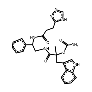 CC(Cc1c[nH]c2ccccc12)(OC(N)=O)C(=O)NCC(NC(=O)CCc1nnn[nH]1)c1ccccc1